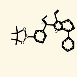 C=Cc1c(/C(=C\C)c2cccc(B3OC(C)(C)C(C)(C)O3)c2)sc2c(-c3ccccc3)cccc12